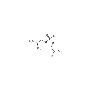 CC(C)COP(=O)(Cl)OCC(C)C